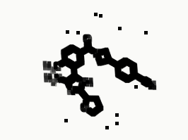 Cc1ccc(C(=O)N2CC(c3ccc(C#N)cc3)C2)cc1-c1[nH]c(C2CCCO2)nc1N